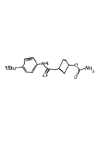 CC(C)(C)c1ccc(NC(=O)C2CC(OC(N)=O)C2)cc1